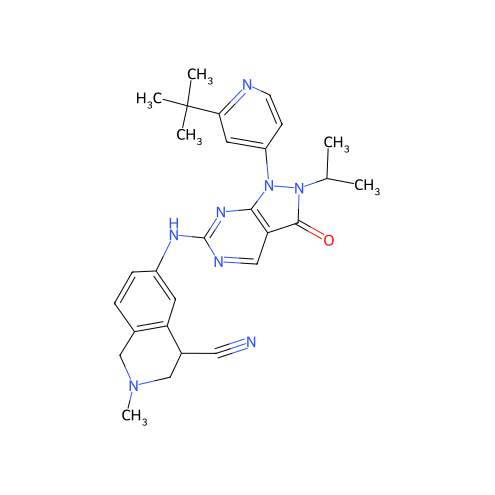 CC(C)n1c(=O)c2cnc(Nc3ccc4c(c3)C(C#N)CN(C)C4)nc2n1-c1ccnc(C(C)(C)C)c1